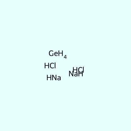 Cl.Cl.[GeH4].[NaH].[NaH]